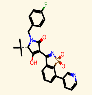 CC(C)(C)[C@H]1C(O)=C(C2=NS(=O)(=O)c3c2cccc3-c2cccnc2)C(=O)N1Cc1ccc(F)cc1